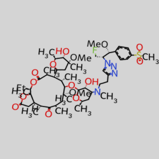 CC[C@H]1OC(=O)[C@H](C)[C@@H](C2C[C@@](C)(OC)[C@@H](O)[C@H](C)O2)[C@H](C)[C@@H](O[C@@H]2O[C@H](C)C[C@H](N(C)CCc3cn([C@H](CF)[C@H](OC)c4ccc(S(C)(=O)=O)cc4)nn3)[C@H]2O)[C@](C)(OC)C[C@@H](C)C(=O)[C@H](C)[C@H]2CC(=O)O[C@@]21C